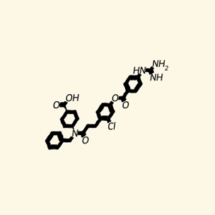 N=C(N)Nc1ccc(C(=O)Oc2ccc(CCC(=O)N(Cc3ccccc3)[C@H]3CC[C@H](C(=O)O)CC3)c(Cl)c2)cc1